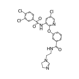 O=C(NCCN1C=NCC1)c1cccc(Oc2ncc(Cl)cc2NS(=O)(=O)c2ccc(Cl)c(Cl)c2)c1